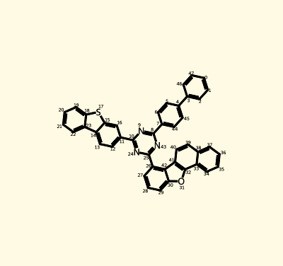 c1ccc(-c2ccc(-c3nc(-c4ccc5c(c4)sc4ccccc45)nc(-c4cccc5oc6c7ccccc7ccc6c45)n3)cc2)cc1